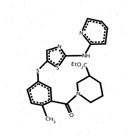 CCOC(=O)C1CCCN(C(=O)c2cc(Sc3cnc(Nc4ccccn4)s3)ccc2C)C1